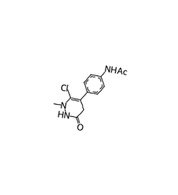 CC(=O)Nc1ccc(C2=C(Cl)N(C)NC(=O)C2)cc1